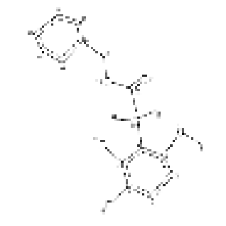 COc1ccc(F)c(F)c1C(C)(C)C(=O)OCc1ccccc1